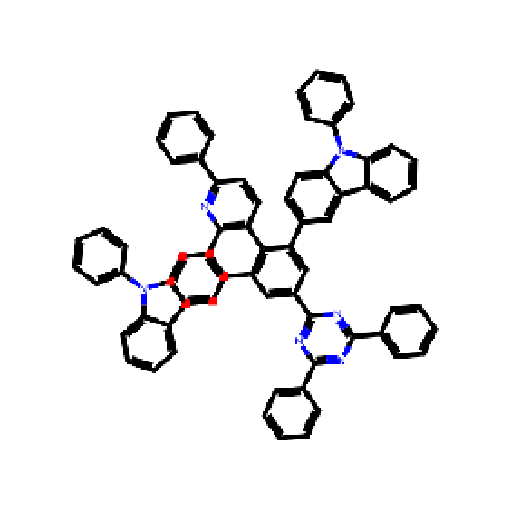 c1ccc(-c2ccc(-c3c(-c4ccc5c(c4)c4ccccc4n5-c4ccccc4)cc(-c4nc(-c5ccccc5)nc(-c5ccccc5)n4)cc3-c3ccc4c(c3)c3ccccc3n4-c3ccccc3)c(-c3ccccc3)n2)cc1